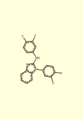 Fc1ccc(Nc2nc3ccccc3n2-c2ccc(F)c(F)c2)cc1F